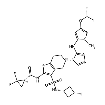 Cn1nc(OC(F)F)cc1Nc1nncn1[C@H]1CCc2sc(NC(=O)[C@@H]3CC3(F)F)c(S(=O)(=O)N[C@H]3C[C@@H](F)C3)c2C1